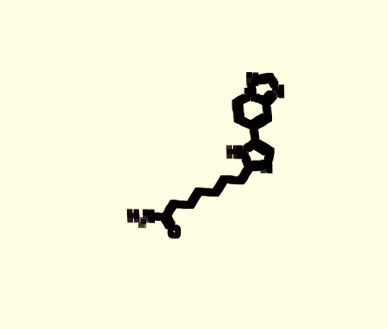 NC(=O)CCCCCCc1ncc(-c2ccn3ncnc3c2)[nH]1